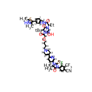 CC[C@@H](C(=O)NCc1ccc(C2=C(C)NC(C)S2)cc1)N(CCO)C(=O)[C@@H](NC(=O)COCCCCN1CC=C(c2ccc(N3C(=S)N(c4ccc(C#N)c(C(F)(F)F)c4F)C(=O)C3(C)C)cn2)CC1)C(C)(C)C